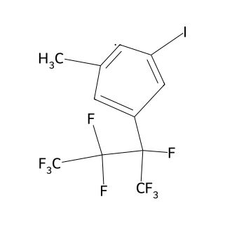 Cc1[c]c(I)cc(C(F)(C(F)(F)F)C(F)(F)C(F)(F)F)c1